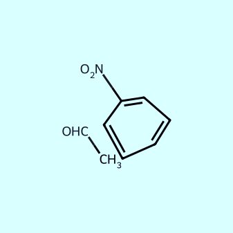 CC=O.O=[N+]([O-])c1ccccc1